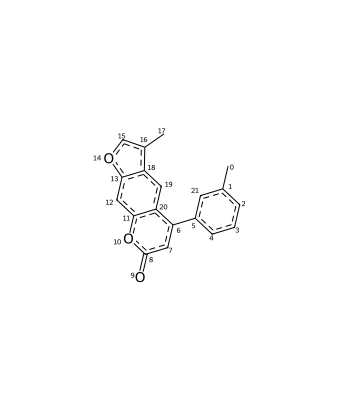 Cc1cccc(-c2cc(=O)oc3cc4occ(C)c4cc23)c1